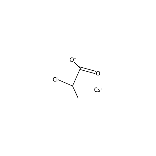 CC(Cl)C(=O)[O-].[Cs+]